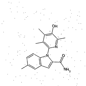 Cc1ccc2c(c1)cc(C(N)=O)n2-c1nc(C)c(O)c(C)c1C